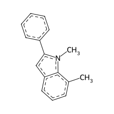 Cc1cccc2cc(-c3ccccc3)n(C)c12